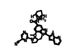 COc1cc(C(=O)N2C[C@H]3CC[C@@H]2[C@@H]3N)cc2nc(-c3cc4cccnc4n3C)n(C[C@H]3CCN(c4cncc(C#N)n4)C3)c12